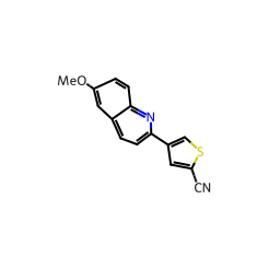 COc1ccc2nc(-c3csc(C#N)c3)ccc2c1